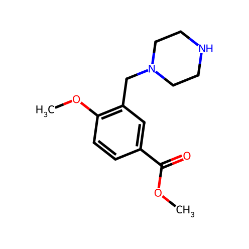 COC(=O)c1ccc(OC)c(CN2CCNCC2)c1